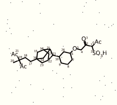 CC(=O)C(C(=O)COC1CCCC(C2C3CC4CC(CCC(C)(C(C)=O)C(C)=O)(C3)CC42)C1)S(=O)(=O)O